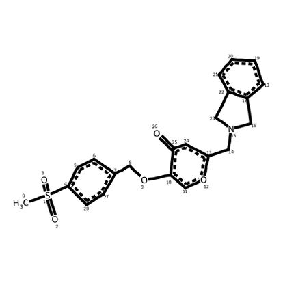 CS(=O)(=O)c1ccc(COc2coc(CN3Cc4ccccc4C3)cc2=O)cc1